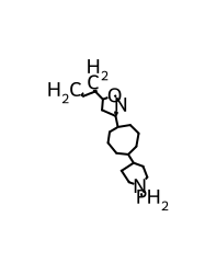 C=CC(=C)C1CC(C2CCCC(C3CCN(P)CC3)CCC2)=NO1